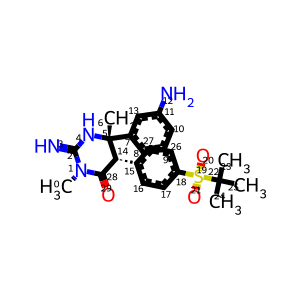 CN1C(=N)N[C@](C)(c2cccc(N)c2)[C@H](c2ccc(S(=O)(=O)C(C)(C)C)cc2)C1=O